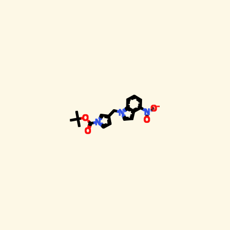 CC(C)(C)OC(=O)n1ccc(Cn2ccc3c([N+](=O)[O-])cccc32)c1